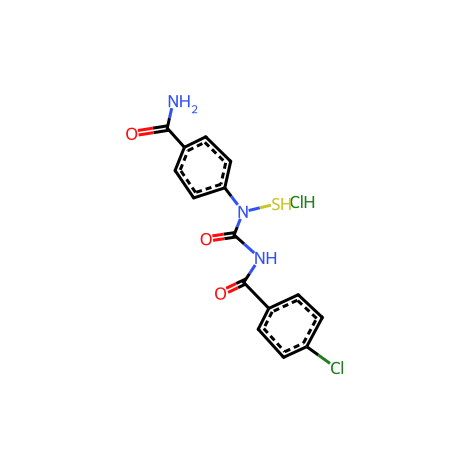 Cl.NC(=O)c1ccc(N(S)C(=O)NC(=O)c2ccc(Cl)cc2)cc1